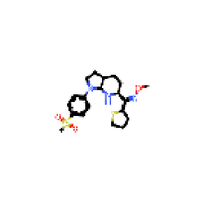 CO/N=C(\C1CCC2CCN(c3ccc(S(C)(=O)=O)cc3)C2N1)C1CCCS1